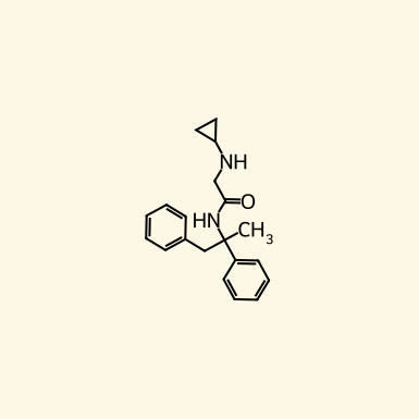 CC(Cc1ccccc1)(NC(=O)CNC1CC1)c1ccccc1